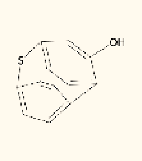 Oc1cc2ccc1c1ccc(cc1)s2